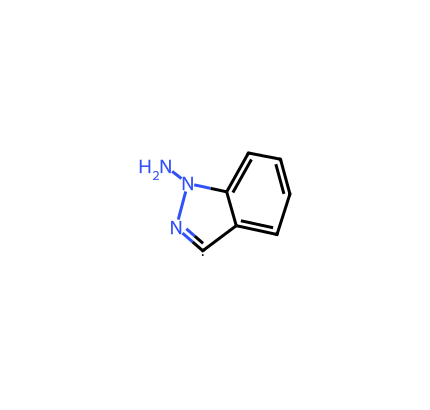 Nn1n[c]c2ccccc21